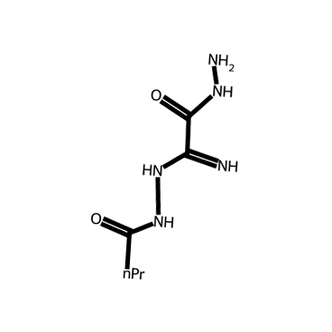 CCCC(=O)NNC(=N)C(=O)NN